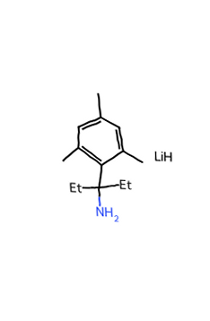 CCC(N)(CC)c1c(C)cc(C)cc1C.[LiH]